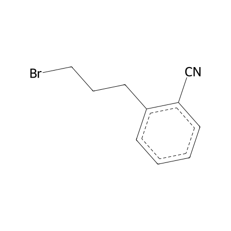 N#Cc1ccccc1CCCBr